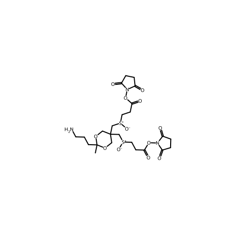 CC1(CCCN)OCC(C[S+]([O-])CCC(=O)ON2C(=O)CCC2=O)(C[S+]([O-])CCC(=O)ON2C(=O)CCC2=O)CO1